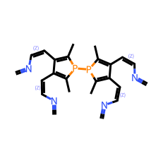 C=N/C=C\c1c(/C=C\N=C)c(C)p(-p2c(C)c(/C=C\N=C)c(/C=C\N=C)c2C)c1C